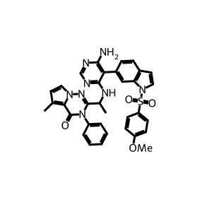 COc1ccc(S(=O)(=O)n2ccc3ccc(-c4c(N)ncnc4NC(C)c4nn5ccc(C)c5c(=O)n4-c4ccccc4)cc32)cc1